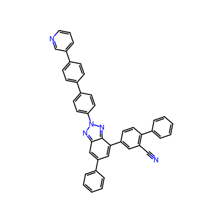 N#Cc1cc(-c2cc(-c3ccccc3)cc3nn(-c4ccc(-c5ccc(-c6cccnc6)cc5)cc4)nc23)ccc1-c1ccccc1